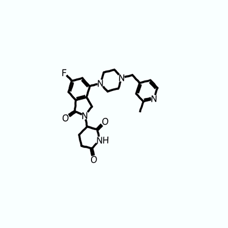 Cc1cc(CN2CCN(c3cc(F)cc4c3CN(C3CCC(=O)NC3=O)C4=O)CC2)ccn1